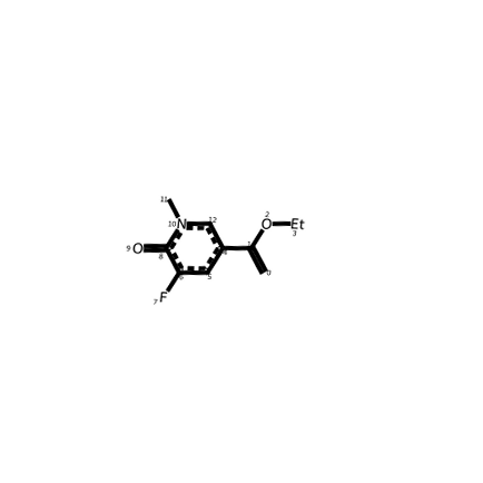 C=C(OCC)c1cc(F)c(=O)n(C)c1